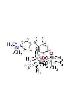 CN(C)c1ccc(C2CCc3cc(O[Si](C)(C)C(C)(C)C)c(O[Si](C)(C)C(C)(C)C)cc32)cc1